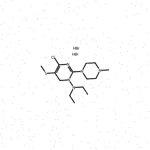 Br.Br.CCN(CC)N1CC(SC)=C(Cl)N=C1N1CCN(C)CC1